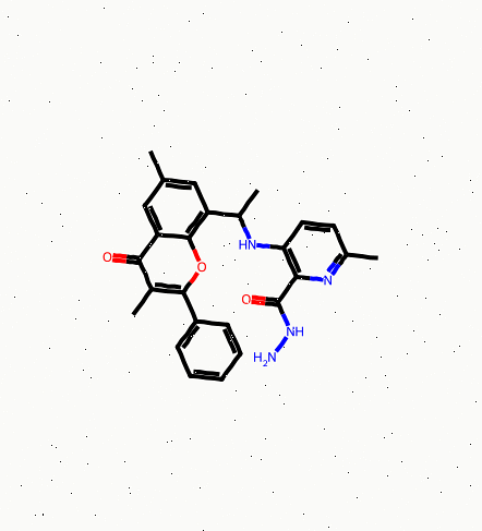 Cc1cc(C(C)Nc2ccc(C)nc2C(=O)NN)c2oc(-c3ccccc3)c(C)c(=O)c2c1